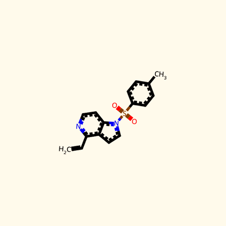 C=Cc1nccc2c1ccn2S(=O)(=O)c1ccc(C)cc1